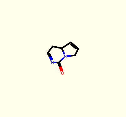 O=C1N=CCC2C=CCN12